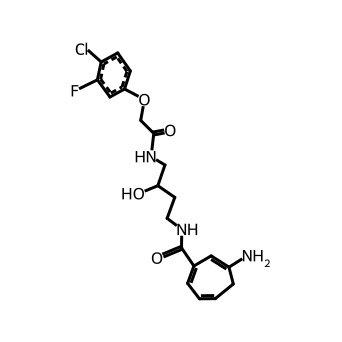 NC1=CC(C(=O)NCCC(O)CNC(=O)COc2ccc(Cl)c(F)c2)=CC=CC1